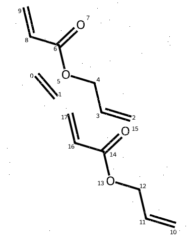 C=C.C=CCOC(=O)C=C.C=CCOC(=O)C=C